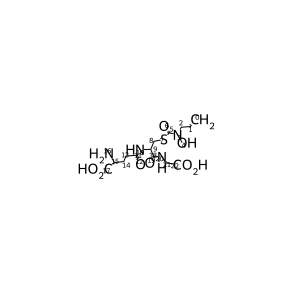 C=CCN(O)C(=O)SCC(NC(=O)CCC(N)C(=O)O)C(=O)NCC(=O)O